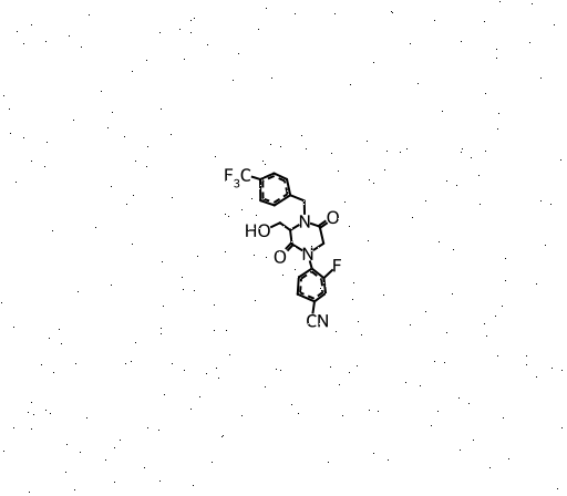 N#Cc1ccc(N2CC(=O)N(Cc3ccc(C(F)(F)F)cc3)C(CO)C2=O)c(F)c1